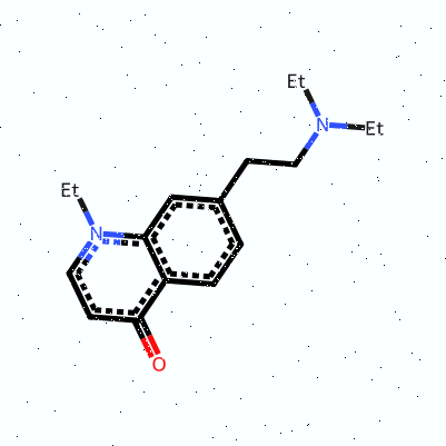 CCN(CC)CCc1ccc2c(=O)ccn(CC)c2c1